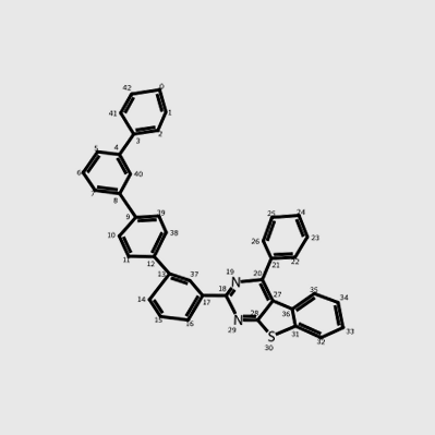 c1ccc(-c2cccc(-c3ccc(-c4cccc(-c5nc(-c6ccccc6)c6c(n5)sc5ccccc56)c4)cc3)c2)cc1